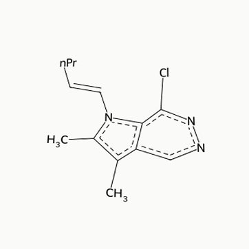 CCCC=Cn1c(C)c(C)c2cnnc(Cl)c21